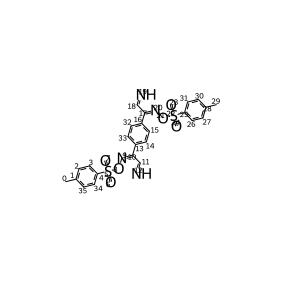 Cc1ccc(S(=O)(=O)ON=C(C=N)c2ccc(/C(C=N)=N\OS(=O)(=O)c3ccc(C)cc3)cc2)cc1